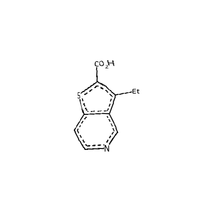 CCc1c(C(=O)O)sc2ccncc12